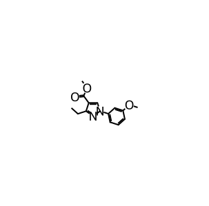 CCc1nn(-c2cccc(OC)c2)cc1C(=O)OC